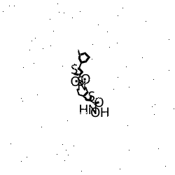 Cc1cccc(-c2cc(S(=O)(=O)N3CCc4cc(C(=O)NO)sc4C3)cs2)c1